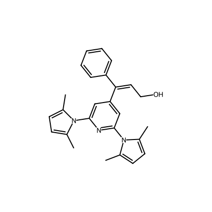 Cc1ccc(C)n1-c1cc(/C(=C\CO)c2ccccc2)cc(-n2c(C)ccc2C)n1